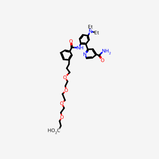 CCN(CC)c1ccc(NC(=O)c2cccc(CCCOCCOCCOCCOCCC(=O)O)c2)c(-c2cc(C(N)=O)ccn2)c1